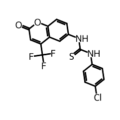 O=c1cc(C(F)(F)F)c2cc(NC(=S)Nc3ccc(Cl)cc3)ccc2o1